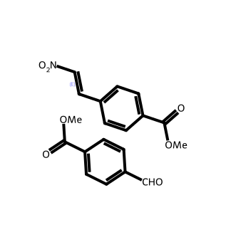 COC(=O)c1ccc(/C=C/[N+](=O)[O-])cc1.COC(=O)c1ccc(C=O)cc1